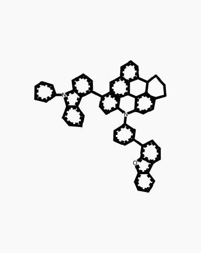 c1ccc(-n2c3ccccc3c3c(-c4ccc(N(c5cccc(-c6cccc7c6oc6ccccc67)c5)c5ccccc5-c5cccc6cccc(C7CCCCC7)c56)cc4)cccc32)cc1